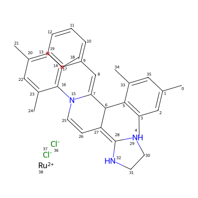 Cc1cc(C)c(C2C(=Cc3ccccc3)N(c3c(C)cc(C)cc3C)C=CC2=C2NCCN2)c(C)c1.[Cl-].[Cl-].[Ru+2]